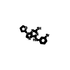 Sc1nc(Nc2cccc(Br)c2)c2ncn(C3CCCO3)c2n1